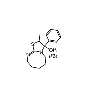 Br.CC1SC2=NCCCCCN2C1(O)c1ccccc1